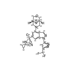 N#CC1(NS(=O)(=O)c2cc(N3C[C@H]4COC[C@@H](C3)N4)c3cnn(-c4nnc(C(F)F)s4)c3c2)CC1